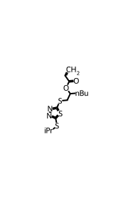 C=CC(=O)OC(CCCC)CSc1nnc(SC(C)C)s1